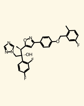 Cc1ccc(F)cc1COc1ccc(-c2cc([C@H](C)[C@](O)(Cn3cncn3)c3ccc(F)cc3F)on2)cc1